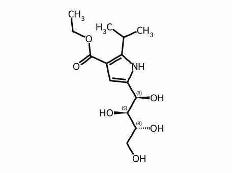 CCOC(=O)c1cc([C@@H](O)[C@H](O)[C@H](O)CO)[nH]c1C(C)C